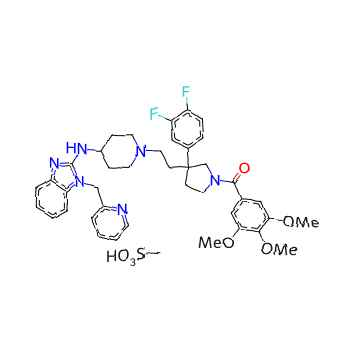 COc1cc(C(=O)N2CCC(CCN3CCC(Nc4nc5ccccc5n4Cc4ccccn4)CC3)(c3ccc(F)c(F)c3)C2)cc(OC)c1OC.CS(=O)(=O)O